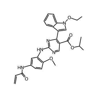 C=CC(=O)Nc1ccc(OC)c(Nc2ncc(C(=O)OC(C)C)c(-c3cn(OCC)c4ccccc34)n2)c1